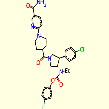 CCN(C(=O)Oc1ccc(F)cc1)[C@@H]1CN(C(=O)C2CCN(c3ccc(C(N)=O)cn3)CC2)C[C@H]1c1ccc(Cl)cc1